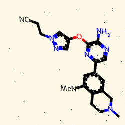 CNc1cc(-c2cnc(N)c(Oc3cnn(CCC#N)c3)n2)cc2c1CCN(C)C2